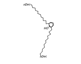 CCCCCCCCCCCCCCCCCCCCCCc1cccc(CCCCCCCCCCCCCCCCCCCCCC)c1O